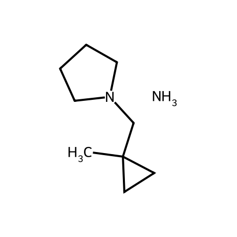 CC1(CN2CCCC2)CC1.N